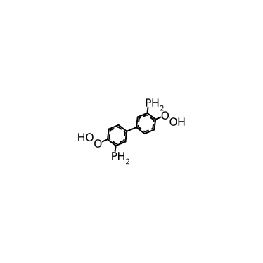 OOc1ccc(-c2ccc(OO)c(P)c2)cc1P